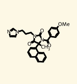 COc1ccc(C(=O)N2C(=O)N(CCCn3ccnc3)C(=O)C2(C)c2cccc3ccccc23)cc1